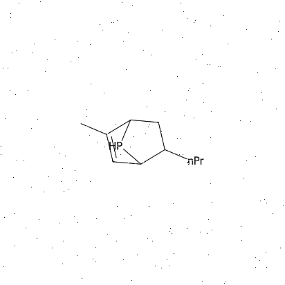 CCCC1CC2PC1C=C2C